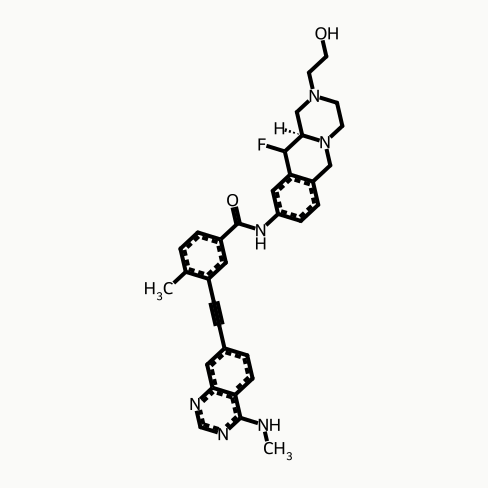 CNc1ncnc2cc(C#Cc3cc(C(=O)Nc4ccc5c(c4)C(F)[C@H]4CN(CCO)CCN4C5)ccc3C)ccc12